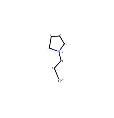 CCCCCN1[CH]CCC1